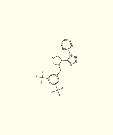 FC(F)(F)c1cc(CN2CSC[C@H]2c2ncnn2-c2ncccn2)cc(C(F)(F)F)c1